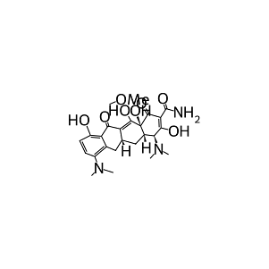 CN(C)c1ccc(O)c2c1C[C@H]1C[C@H]3[C@H](N(C)C)C(O)=C(C(N)=O)C(=O)[C@@]3(O)C(O)=C1C2=O.COC